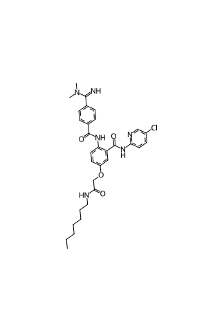 CCCCCCCNC(=O)COc1ccc(NC(=O)c2ccc(C(=N)N(C)C)cc2)c(C(=O)Nc2ccc(Cl)cn2)c1